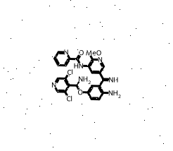 COc1ncc(C(=N)c2cc(O[C@H](N)c3c(Cl)cncc3Cl)ccc2N)cc1NC(=O)c1ccccn1